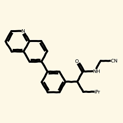 CC(C)CC(C(=O)NCC#N)c1cccc(-c2ccc3ncccc3c2)c1